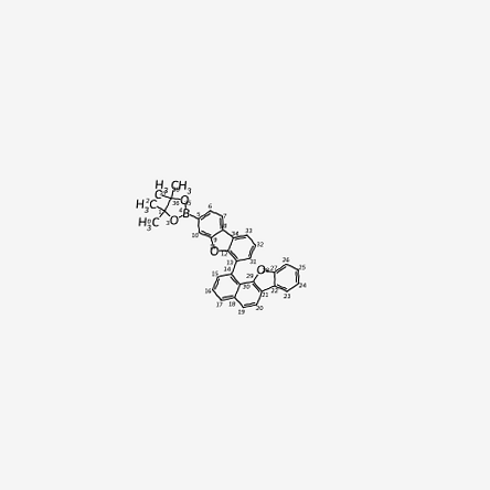 CC1(C)OB(c2ccc3c(c2)oc2c(-c4cccc5ccc6c7ccccc7oc6c45)cccc23)OC1(C)C